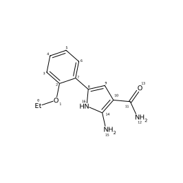 CCOc1ccccc1-c1cc(C(N)=O)c(N)[nH]1